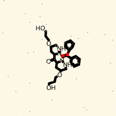 O=C(C1CC(OCCCO)CNN1CCc1ccccc1)C1CC(OCCCO)CNN1CCc1ccccc1